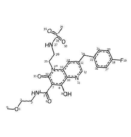 COCCNC(=O)c1c(O)c2ncc(Cc3ccc(F)cc3)cc2n(CCNS(C)(=O)=O)c1=O